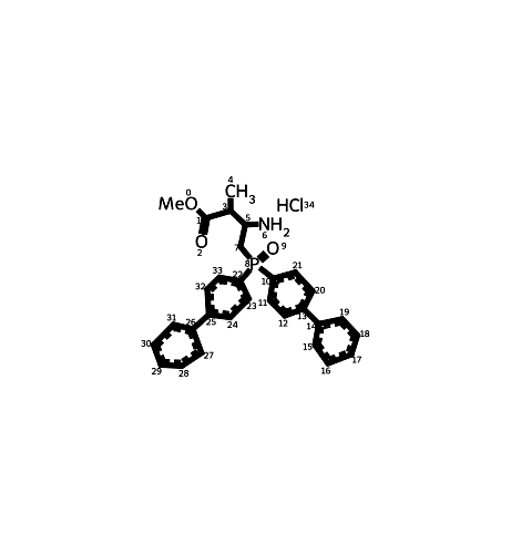 COC(=O)C(C)C(N)CP(=O)(c1ccc(-c2ccccc2)cc1)c1ccc(-c2ccccc2)cc1.Cl